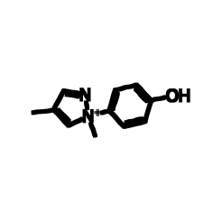 CC1=C[N+](C)(c2ccc(O)cc2)N=C1